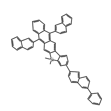 C[Si]1(C)c2cc(-c3ccc4cc(-c5ccccc5)ccc4c3)ccc2-c2cc3c(-c4ccc5ccccc5c4)c4ccccc4c(-c4ccc5ccccc5c4)c3cc21